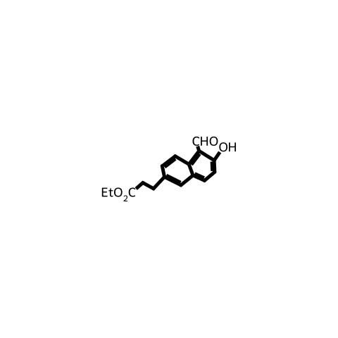 CCOC(=O)CCc1ccc2c(C=O)c(O)ccc2c1